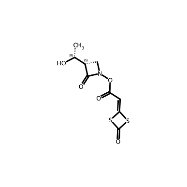 C[C@@H](O)[C@@H]1CN(OC(=O)C=C2SC(=O)S2)C1=O